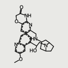 COc1cnc2cccc(C(O)CN3C4CCC3CC(NCc3ccc5c(n3)NC(=O)CO5)C4)c2c1